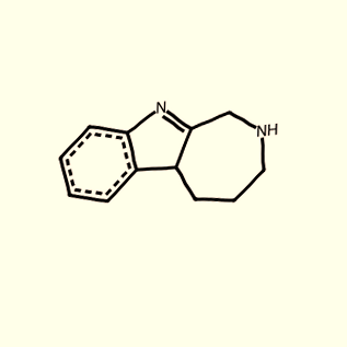 c1ccc2c(c1)N=C1CNCCCC12